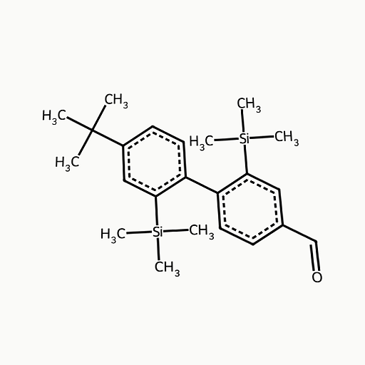 CC(C)(C)c1ccc(-c2ccc(C=O)cc2[Si](C)(C)C)c([Si](C)(C)C)c1